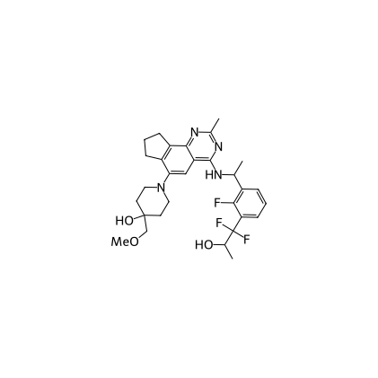 COCC1(O)CCN(c2cc3c(NC(C)c4cccc(C(F)(F)C(C)O)c4F)nc(C)nc3c3c2CCC3)CC1